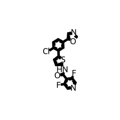 O=C(Nc1ccc(-c2cc(-c3cnco3)ccc2Cl)s1)c1c(F)cncc1F